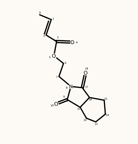 CC=CC(=O)OCCN1C(=O)C2CCCCC2C1=O